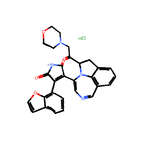 Cl.O=C1NC(=O)C(c2cccc3ccoc23)=C1C1=CN=Cc2cccc3c2N1C(C(=O)CN1CCOCC1)C3